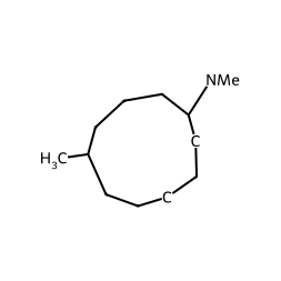 CNC1CCCCCC(C)CCC1